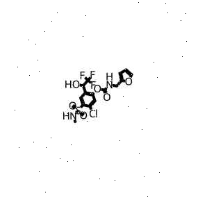 CNS(=O)(=O)c1cc(C(O)C(F)(F)F)c(OC(=O)NCc2ccco2)cc1Cl